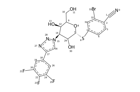 N#Cc1ccc(S[C@H]2OC(CO)[C@H](O)[C@H](n3cc(-c4cc(F)c(F)c(F)c4)nn3)C2O)cc1Br